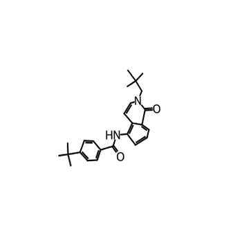 CC(C)(C)Cn1ccc2c(NC(=O)c3ccc(C(C)(C)C)cc3)cccc2c1=O